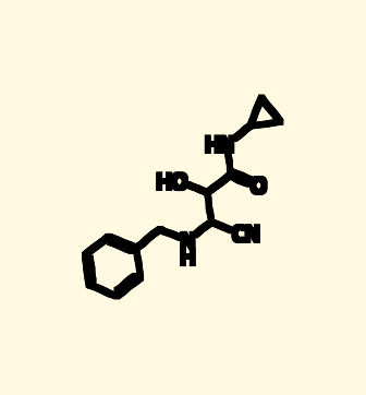 N#CC(NCc1ccccc1)C(O)C(=O)NC1CC1